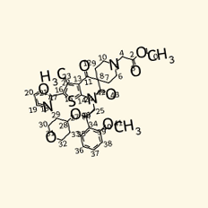 COC(=O)CN1CCC2(CC1)C(=O)c1c(sc(-c3ncco3)c1C)N(C[C@H](OC1CCOCC1)c1ccccc1OC)C2=O